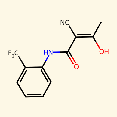 C/C(O)=C(\C#N)C(=O)Nc1ccccc1C(F)(F)F